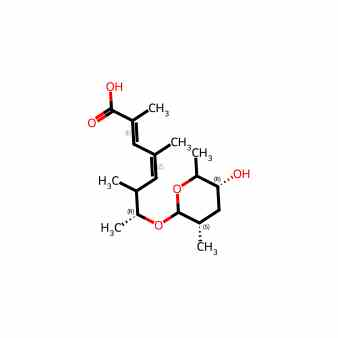 CC(=C/C(C)[C@@H](C)OC1OC(C)[C@H](O)C[C@@H]1C)/C=C(\C)C(=O)O